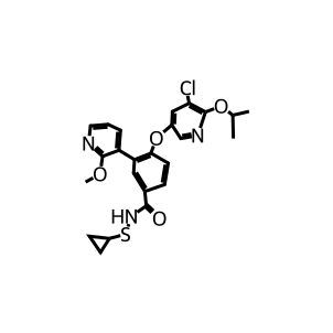 COc1ncccc1-c1cc(C(=O)NSC2CC2)ccc1Oc1cnc(OC(C)C)c(Cl)c1